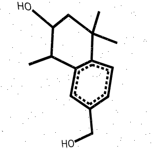 CC1c2cc(CO)ccc2C(C)(C)CC1O